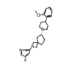 COc1ccccc1C1CCN([C@@H]2CCC3(C2)CN(c2cncc(F)c2)C3)CC1